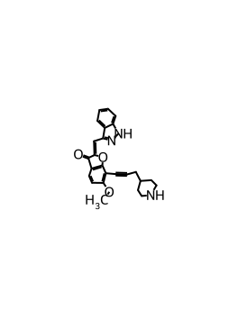 COc1ccc2c(c1C#CCC1CCNCC1)O/C(=C\c1n[nH]c3ccccc13)C2=O